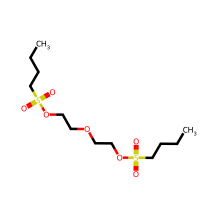 CCCCS(=O)(=O)OCCOCCOS(=O)(=O)CCCC